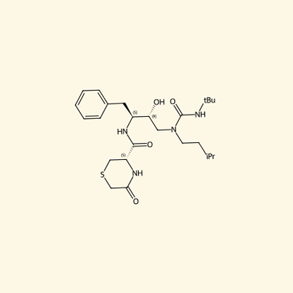 CC(C)CCN(C[C@@H](O)[C@H](Cc1ccccc1)NC(=O)[C@H]1CSCC(=O)N1)C(=O)NC(C)(C)C